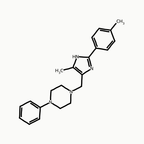 Cc1ccc(-c2nc(CN3CCN(c4ccccc4)CC3)c(C)[nH]2)cc1